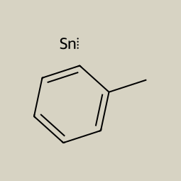 Cc1ccccc1.[Sn]